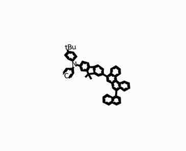 CC(C)(C)c1ccc(N(c2ccccc2)c2ccc3c(c2)C(C)(C)c2cc(-c4cc5cc(-c6cccc7ccccc67)c6ccccc6c5c5ccccc45)ccc2-3)cc1